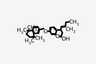 CC/C(C)=C/C(CC(=O)O)c1ccc(OCc2ccc3c(c2)C(C)(C)CCC3(C)C)cc1